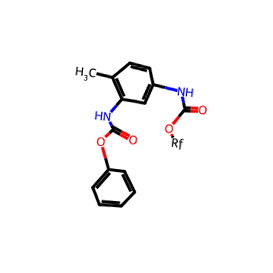 Cc1ccc(NC(=O)[O][Rf])cc1NC(=O)Oc1ccccc1